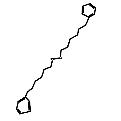 c1ccc(CCCCCCNNCCCCCCc2ccccc2)cc1